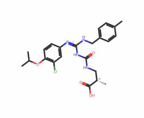 Cc1ccc(CN/C(=N/c2ccc(OC(C)C)c(Cl)c2)NC(=O)NC[C@H](C)C(=O)O)cc1